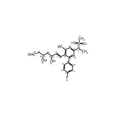 CC(C)c1nc(N(C)S(C)(=O)=O)nc(-c2ccc(F)cc2)c1/C=C/[C@@H](O)C[C@@H](O)CC=O